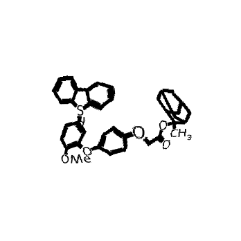 COc1ccc([SH]2c3ccccc3-c3ccccc32)cc1Oc1ccc(OCC(=O)OC2(C)C3CC4CC(C3)CC2C4)cc1